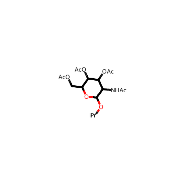 CC(=O)NC1C(OC(C)C)OC(COC(C)=O)C(OC(C)=O)C1OC(C)=O